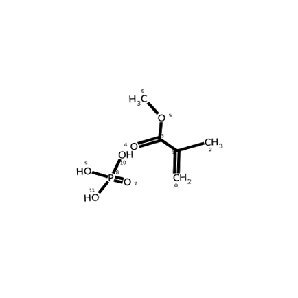 C=C(C)C(=O)OC.O=P(O)(O)O